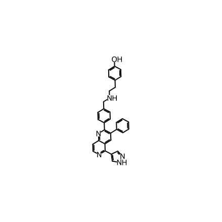 Oc1ccc(CCNCc2ccc(-c3nc4ccnc(-c5cn[nH]c5)c4cc3-c3ccccc3)cc2)cc1